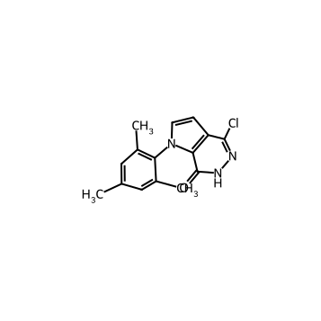 Cc1cc(C)c(-n2ccc3c(Cl)n[nH]c(=O)c32)c(C)c1